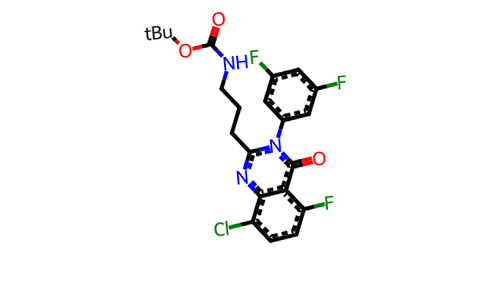 CC(C)(C)OC(=O)NCCCc1nc2c(Cl)ccc(F)c2c(=O)n1-c1cc(F)cc(F)c1